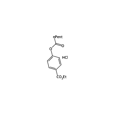 CCCCCC(=O)Oc1ccc(C(=O)OCC)cc1.Cl